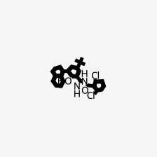 CC(C)(C)c1cc(C(=N)NC(=O)c2c(Cl)cccc2Cl)c(O)c(-c2cccc3ccccc23)c1